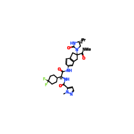 CNC(=O)C1(N2C[C@@H](C(C)C)NC2=O)Cc2ccc(NC(=O)[C@@H](NC(=O)c3ccnn3C)C3CCC(F)(F)CC3)cc2C1